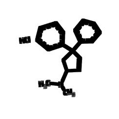 CN(C)C1C=CC(c2ccccc2)(c2ccccc2)C1.Cl